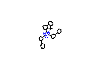 CC1(C)c2ccccc2-c2cccc(-c3nc(-c4cccc(-c5ccccc5)c4)nc(-c4cccc(-c5ccccc5)c4)n3)c21